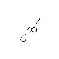 CCCCOc1cccc2c1ccn2CC(=O)N1CCCCC1